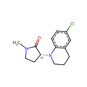 CN1CC[C@@H](N2CCCc3cc(Cl)ccc32)C1=O